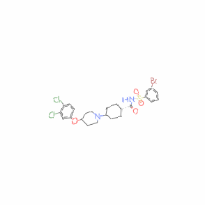 O=C(NS(=O)(=O)c1cccc(Br)c1)[C@H]1CC[C@H](N2CCC(Oc3ccc(Cl)c(Cl)c3)CC2)CC1